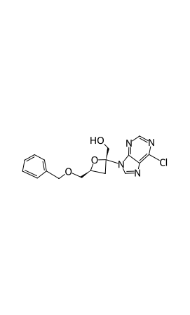 OC[C@@]1(n2cnc3c(Cl)ncnc32)C[C@@H](COCc2ccccc2)O1